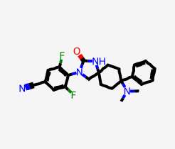 CN(C)C1(c2ccccc2)CCC2(CC1)CN(c1c(F)cc(C#N)cc1F)C(=O)N2